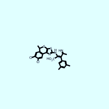 CC(=N)/C(=C(\Nc1nc2c(s1)SC(C)c1cc(Cl)c(Cl)cc1-2)C(=O)O)c1cc(C)cc(C)c1